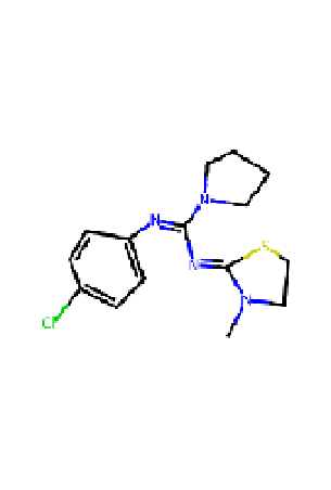 CN1CCSC1=NC(=Nc1ccc(Cl)cc1)N1CCCC1